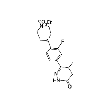 CCOC(=O)N1CCN(c2ccc(C3=NNC(=O)CC3C)cc2F)CC1